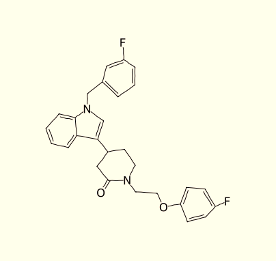 O=C1CC(c2cn(Cc3cccc(F)c3)c3ccccc23)CCN1CCOc1ccc(F)cc1